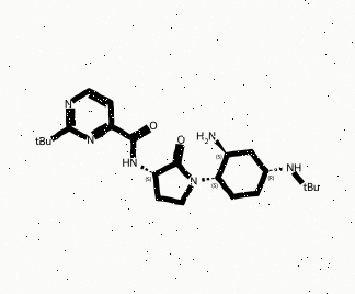 CC(C)(C)N[C@@H]1CC[C@H](N2CC[C@H](NC(=O)c3ccnc(C(C)(C)C)n3)C2=O)[C@@H](N)C1